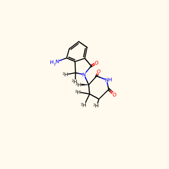 [2H]C1C(=O)NC(=O)[C@@]([2H])(N2C(=O)c3cccc(N)c3C2([2H])[2H])C1([2H])[2H]